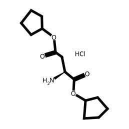 Cl.N[C@@H](CC(=O)OC1CCCC1)C(=O)OC1CCCC1